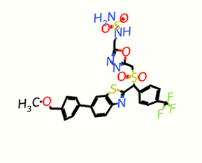 COCc1ccc(-c2ccc3nc(C(c4ccc(C(F)(F)F)cc4)S(=O)(=O)Cc4nnc(CNS(N)(=O)=O)o4)sc3c2)cc1